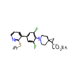 CCOC(=O)C1CC12CCN(c1c(F)cc(-c3cccnc3SC(C)C)cc1F)CC2